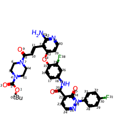 CC(C)(C)OC(=O)N1CCN(C(=O)C=Cc2c(Oc3ccc(NC(=O)c4ccnn(-c5ccc(F)cc5)c4=O)cc3F)ccnc2N)CC1